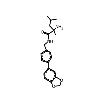 CC(C)CC(C)(N)C(=O)NCc1ccc(-c2ccc3c(c2)OCO3)cc1